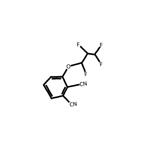 N#Cc1cccc(OC(F)C(F)C(F)F)c1C#N